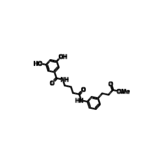 COC(=O)CCc1cccc(NC(=O)CCCNC(=O)c2cc(O)cc(O)c2)c1